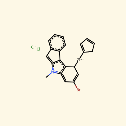 Cn1c2c(c3c1=CC(Br)=C[CH]3[Zr+2][C]1=CC=CC1)-c1ccccc1C=2.[Cl-].[Cl-]